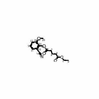 CCOC(=O)CCCC(=O)Oc1c(C#N)cccc1OC